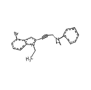 CCn1c(C#CCNc2ccccc2)cc2c(Br)cccc21